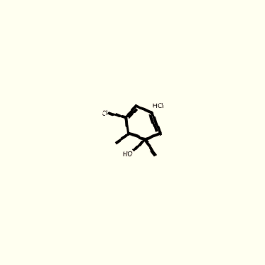 CC1C(Cl)=CC=CC1(C)O.Cl